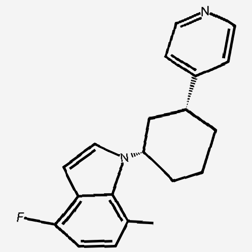 Cc1ccc(F)c2ccn([C@H]3CCC[C@@H](c4ccncc4)C3)c12